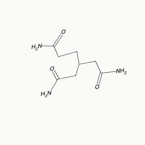 NC(=O)CCC(CC(N)=O)CC(N)=O